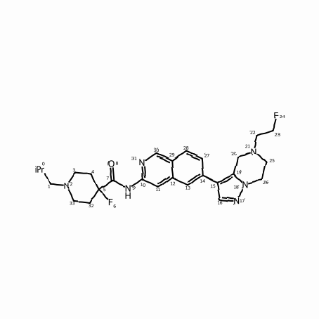 CC(C)CN1CCC(F)(C(=O)Nc2cc3cc(-c4cnn5c4CN(CCF)CC5)ccc3cn2)CC1